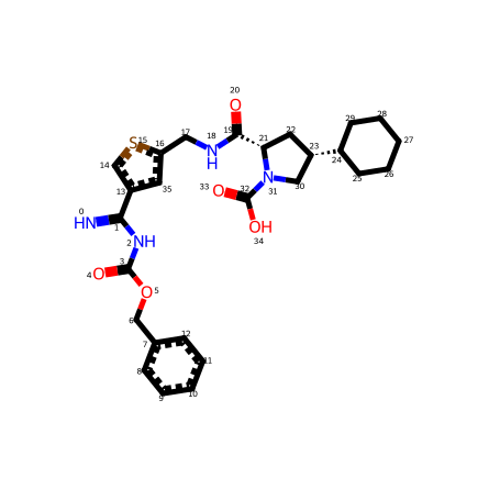 N=C(NC(=O)OCc1ccccc1)c1csc(CNC(=O)[C@@H]2C[C@H](C3CCCCC3)CN2C(=O)O)c1